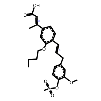 CCCCOc1cc(/C(C)=C/C(=O)O)ccc1/C=C/Cc1ccc(OS(C)(=O)=O)c(OC)c1